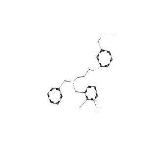 O=C(O)Cc1cccc(OCCCN(Cc2ccccc2)Cc2cccc(C(F)(F)F)c2Cl)c1